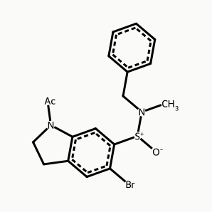 CC(=O)N1CCc2cc(Br)c([S+]([O-])N(C)Cc3ccccc3)cc21